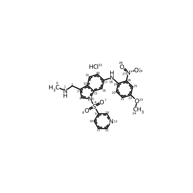 CNCc1cn(S(=O)(=O)c2cccnc2)c2cc(Nc3ccc(OC)cc3[N+](=O)[O-])ccc12.Cl